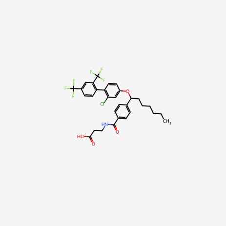 CCCCCCC(Oc1ccc(-c2ccc(C(F)(F)F)cc2C(F)(F)F)c(Cl)c1)c1ccc(C(=O)NCCC(=O)O)cc1